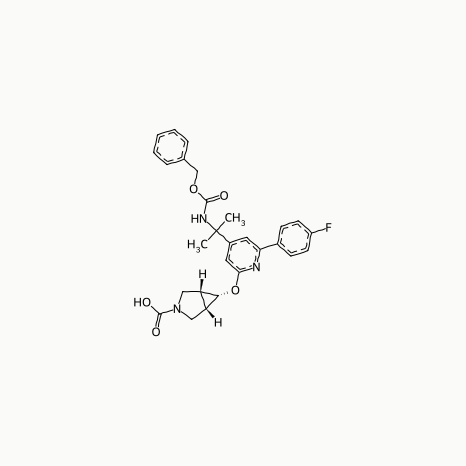 CC(C)(NC(=O)OCc1ccccc1)c1cc(O[C@@H]2[C@@H]3CN(C(=O)O)C[C@@H]32)nc(-c2ccc(F)cc2)c1